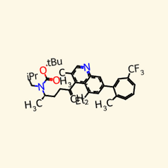 C=C(CC[C@@H](C)N(CC(C)C)C(=O)OC(C)(C)C)c1c(C)cnc2cc(C3=CC(C(F)(F)F)=CC=C=C3C)cc(CC)c12